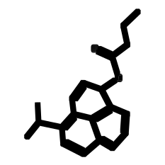 CCCC(=O)OC1C=Cc2c(C(C)C)ccc3cccc1c23